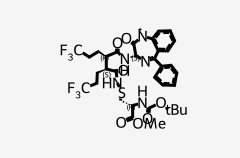 COC(=O)[C@H](CSNC(=O)[C@@H](CCC(F)(F)F)[C@@H](CCC(F)(F)F)C(=O)N[C@H]1N=C(c2ccccc2)c2ccccc2N(C)C1=O)NC(=O)OC(C)(C)C